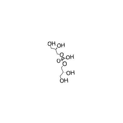 O=P(O)(OC[C@H](O)CO)OC[C@H](O)CO